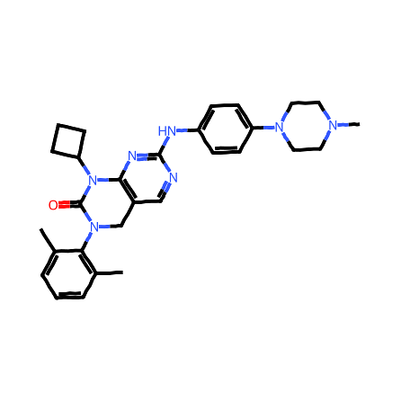 Cc1cccc(C)c1N1Cc2cnc(Nc3ccc(N4CCN(C)CC4)cc3)nc2N(C2CCC2)C1=O